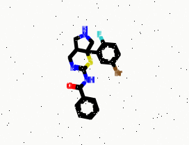 O=C(NC1=NCC2CNCC2(c2cc(Br)ccc2F)S1)c1ccccc1